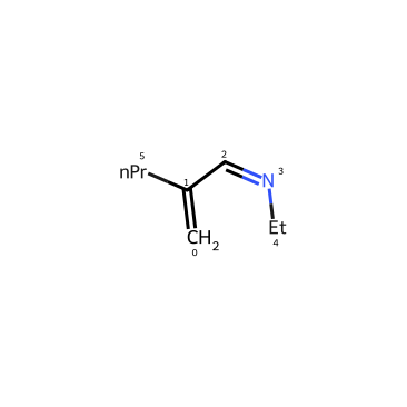 C=C(/C=N\CC)CCC